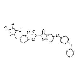 CC(Oc1ccc(CC2SC(=O)NC2=O)cc1)c1nc2ccc(Oc3ccc(Cc4ccccc4)cc3)cc2[nH]1